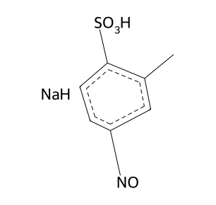 Cc1cc(N=O)ccc1S(=O)(=O)O.[NaH]